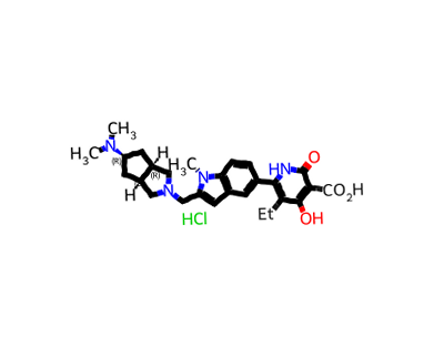 CCc1c(-c2ccc3c(c2)cc(CN2C[C@H]4C[C@@H](N(C)C)C[C@H]4C2)n3C)[nH]c(=O)c(C(=O)O)c1O.Cl